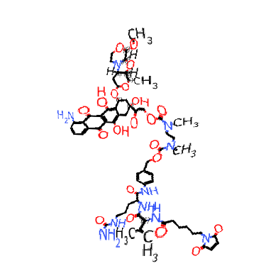 CO[C@H]1OCCN2[C@@H]1O[C@@H]1[C@H](C)OC(O[C@H]3C[C@](O)(C(=O)COC(=O)N(C)CCN(C)C(=O)OCc4ccc(NC(=O)C(CCCNC(N)=O)NC(=O)[C@@H](NC(=O)CCCCCN5C(=O)C=CC5=O)C(C)C)cc4)Cc4c(O)c5c(c(O)c43)C(=O)c3c(N)cccc3C5=O)C[C@@H]12